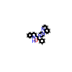 O=C(C1CCCCC1)C(C1CCc2ccccc2N1)N1CCN(c2cccc3cccnc23)CC1